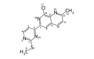 CSc1nccc(-c2cc3ccc(C)nc3c(Cl)n2)n1